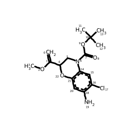 C=C(OC)C1CN(C(=O)OC(C)(C)C)c2cc(Cl)c(N)cc2O1